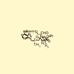 CCCCCOC[C@H](C=O)N[P@](=O)(CO[C@H](C)Cn1cnc2c(N)ncnc21)NC(C)(C)C(=O)OC(C)C